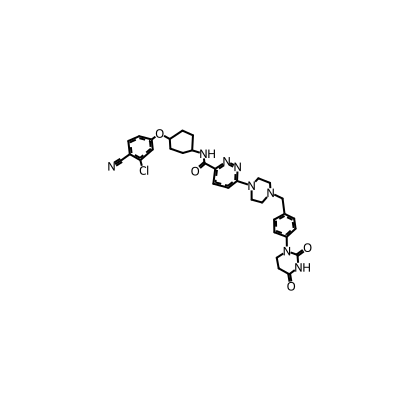 N#Cc1ccc(OC2CCC(NC(=O)c3ccc(N4CCN(Cc5ccc(N6CCC(=O)NC6=O)cc5)CC4)nn3)CC2)cc1Cl